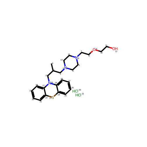 CC(CN1CCN(CCOCCO)CC1)CN1c2ccccc2Sc2ccccc21.Cl.Cl